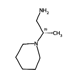 C[C@@H](CN)N1CCCCC1